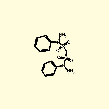 NN(c1ccccc1)S(=O)(=O)CS(=O)(=O)N(N)c1ccccc1